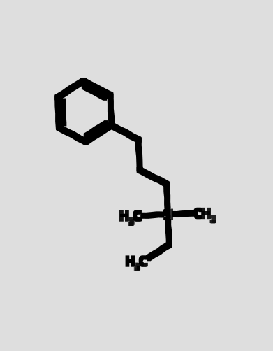 CC[Si](C)(C)CCCc1ccccc1